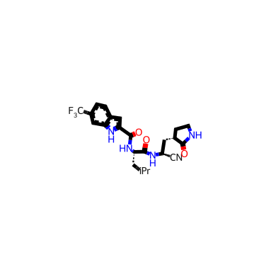 CC(C)C[C@H](NC(=O)c1cc2ccc(C(F)(F)F)cc2[nH]1)C(=O)N[C@H](C#N)C[C@@H]1CCNC1=O